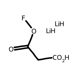 O=C(O)CC(=O)OF.[LiH].[LiH]